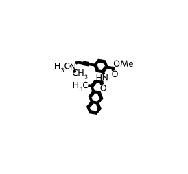 COC(=O)c1ccc(C#CCN(C)C)cc1NC(=O)/C=C(/C)c1ccc2ccccc2c1